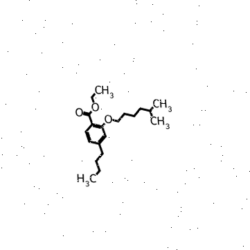 CCCCc1ccc(C(=O)OCC)c(OCCCCC(C)C)c1